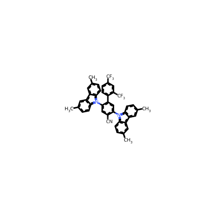 Cc1ccc2c(c1)c1cc(C)ccc1n2-c1cc(-c2ccc(C(F)(F)F)cc2C(F)(F)F)c(-n2c3ccc(C)cc3c3cc(C)ccc32)cc1C#N